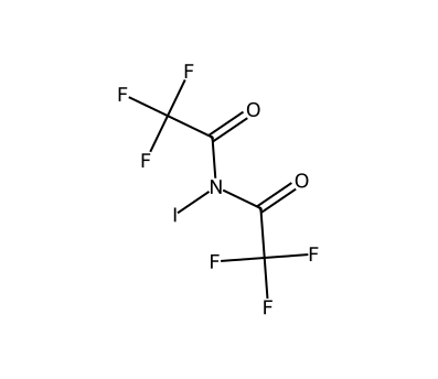 O=C(N(I)C(=O)C(F)(F)F)C(F)(F)F